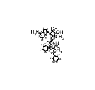 C[C@H](NP(=O)(OC[C@@]1(C)O[C@@H](c2ccc3c(N)ncnn23)[C@H](O)[C@@H]1O)Oc1ccccc1)C(=O)OCc1ccccc1